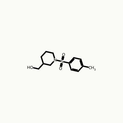 Cc1ccc(S(=O)(=O)N2CCCC(CO)C2)cc1